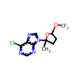 CC1(n2cnc3c(Cl)ncnc32)CCC(OC(F)(F)F)O1